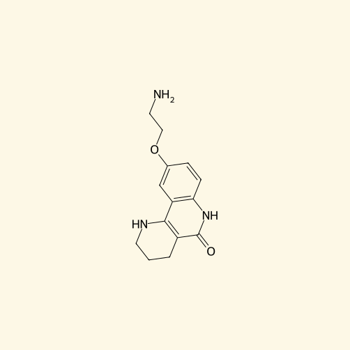 NCCOc1ccc2[nH]c(=O)c3c(c2c1)NCCC3